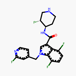 O=C(N[C@@H]1CCNC[C@H]1F)c1cn(Cc2ccnc(F)c2)c2c(F)ccc(F)c12